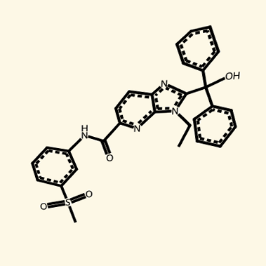 CCn1c(C(O)(c2ccccc2)c2ccccc2)nc2ccc(C(=O)Nc3cccc(S(C)(=O)=O)c3)nc21